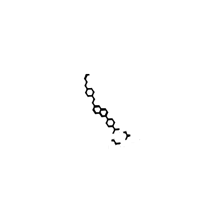 C=C(CO)C(=O)OCC(COC(=O)C(=C)CO)C1CCC(c2ccc3cc(CCC4CCC(CCC=C(F)F)CC4)ccc3c2)CC1